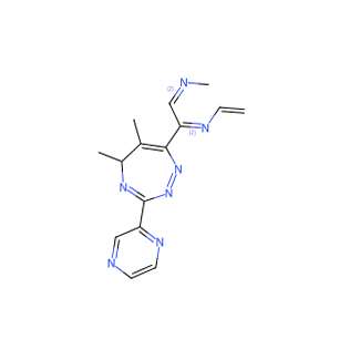 C=C/N=C(\C=N/C)C1=C(C)C(C)N=C(c2cnccn2)N=N1